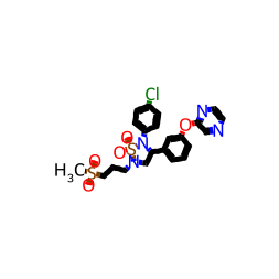 CS(=O)(=O)CCCN1CC(c2cccc(Oc3cnccn3)c2)N(c2ccc(Cl)cc2)S1(=O)=O